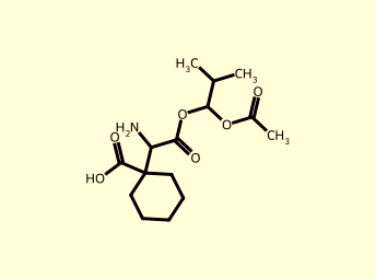 CC(=O)OC(OC(=O)C(N)C1(C(=O)O)CCCCC1)C(C)C